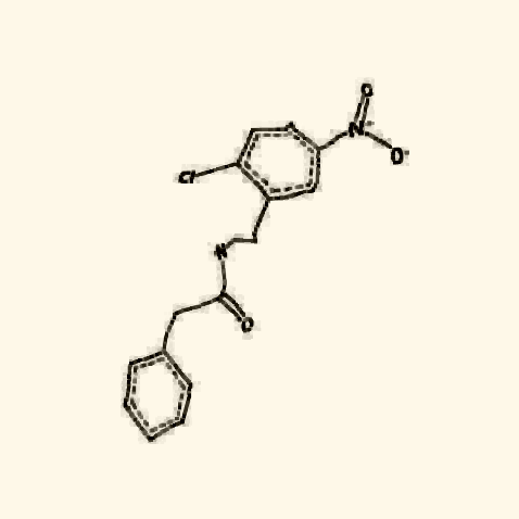 O=C(Cc1ccccc1)[N]Cc1cc([N+](=O)[O-])ccc1Cl